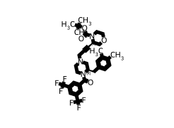 Cc1ccc(C[C@@H]2CN(CC#C[C@@H]3COCCN3C(=O)OC(C)(C)C)CCN2C(=O)c2cc(C(F)(F)F)cc(C(F)(F)F)c2)cc1C